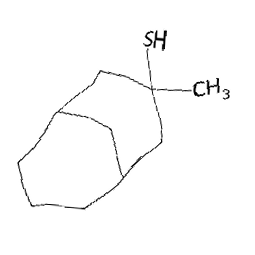 CC1(S)CC2CCCC(C2)C1